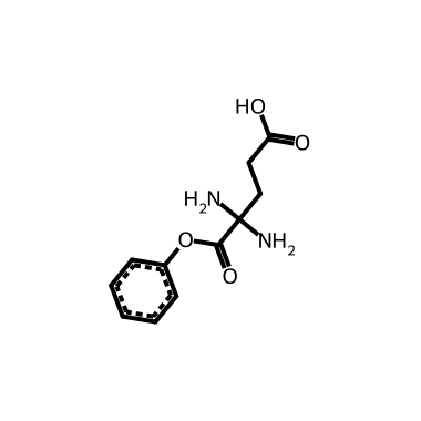 NC(N)(CCC(=O)O)C(=O)Oc1ccccc1